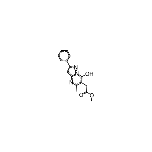 COC(=O)Cc1c(C)nc2cc(-c3ccccc3)nn2c1O